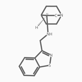 c1ccc2c(CN[C@@H]3CN4CCC3CC4)nsc2c1